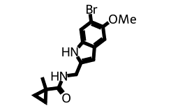 COc1cc2cc(CNC(=O)C3(C)CC3)[nH]c2cc1Br